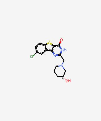 O=c1[nH]c(CN2CCC[C@@H](O)C2)nc2c1sc1ccc(Cl)cc12